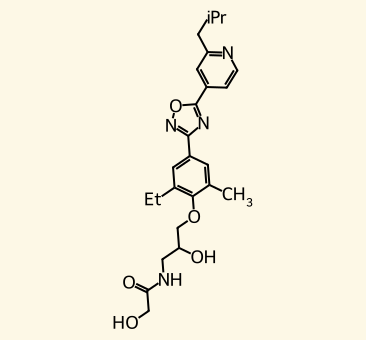 CCc1cc(-c2noc(-c3ccnc(CC(C)C)c3)n2)cc(C)c1OCC(O)CNC(=O)CO